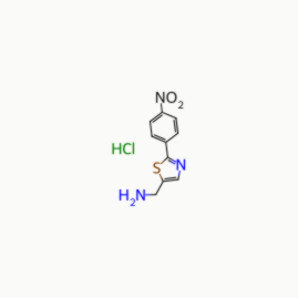 Cl.NCc1cnc(-c2ccc([N+](=O)[O-])cc2)s1